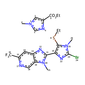 CCOC(=O)c1cn(C)cn1.CCSc1c(-c2nc3cc(C(F)(F)F)ncc3n2C)nc(Br)n1C